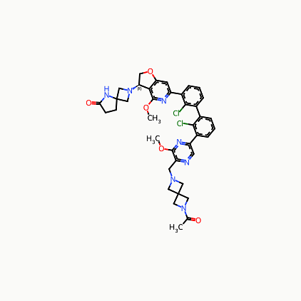 COc1nc(-c2cccc(-c3cccc(-c4cc5c(c(OC)n4)[C@@H](N4CC6(CCC(=O)N6)C4)CO5)c3Cl)c2Cl)cnc1CN1CC2(C1)CN(C(C)=O)C2